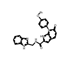 CC(C)Oc1ccc(-n2c(=O)ccc3cc(C(=O)NCc4nc5ccccc5[nH]4)[nH]c32)cc1